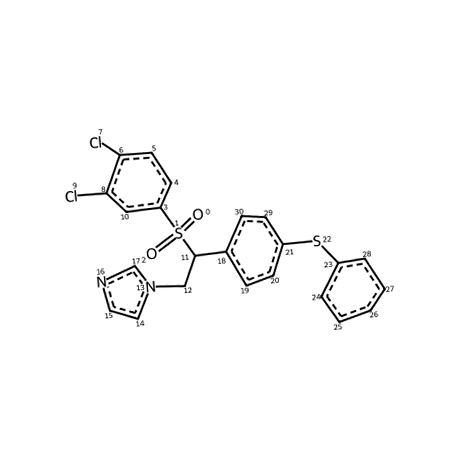 O=S(=O)(c1ccc(Cl)c(Cl)c1)C(Cn1ccnc1)c1ccc(Sc2ccccc2)cc1